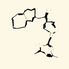 Cc1cc(=O)[nH]c(-n2cc(C(=O)C3CCc4ccccc4C3)cn2)n1